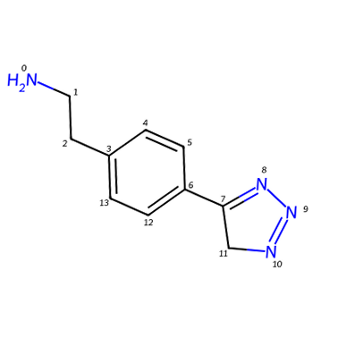 NCCc1ccc(C2=NN=NC2)cc1